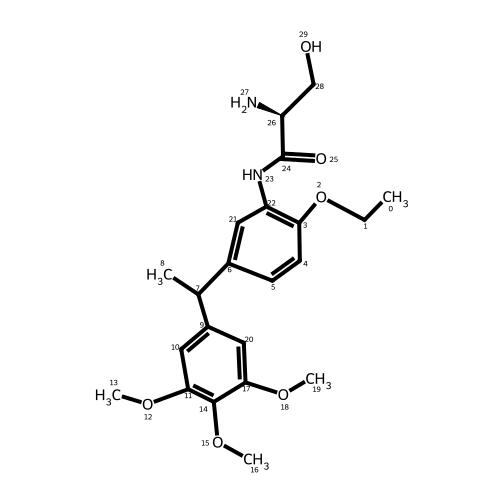 CCOc1ccc(C(C)c2cc(OC)c(OC)c(OC)c2)cc1NC(=O)[C@@H](N)CO